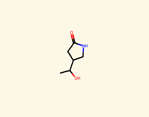 CC(O)C1CNC(=O)C1